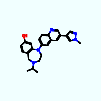 CC(C)N1CCN(c2ccc3ncc(-c4cnn(C)c4)cc3c2)c2cc(O)ccc2C1